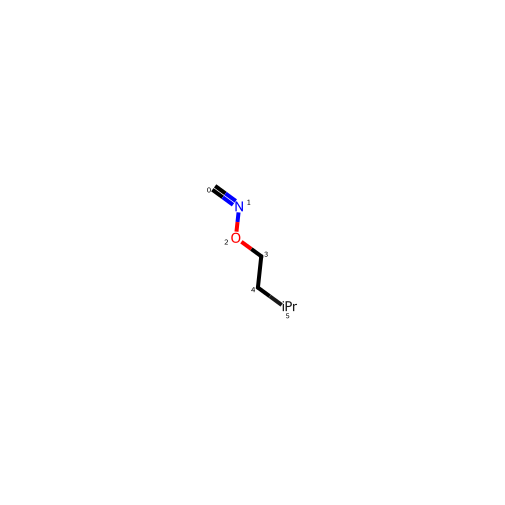 C=NOCCC(C)C